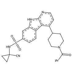 CC(C)C(=O)N1CCC(c2ccnc3[nH]c4cc(S(=O)(=O)NC5(C#N)CC5)ccc4c23)CC1